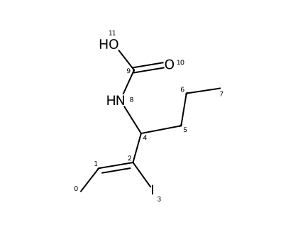 CC=C(I)C(CCC)NC(=O)O